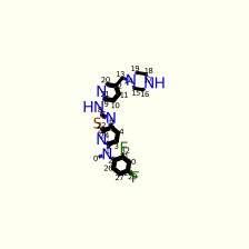 CN(c1ccc2nc(Nc3ccc(CN4CCNCC4)cn3)sc2n1)c1ccc(F)cc1F